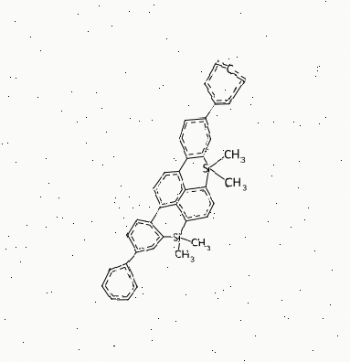 C[Si]1(C)c2cc(-c3ccccc3)ccc2-c2ccc3c4c(ccc1c24)[Si](C)(C)c1cc(-c2ccccc2)ccc1-3